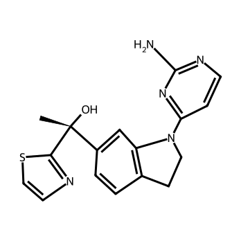 C[C@@](O)(c1ccc2c(c1)N(c1ccnc(N)n1)CC2)c1nccs1